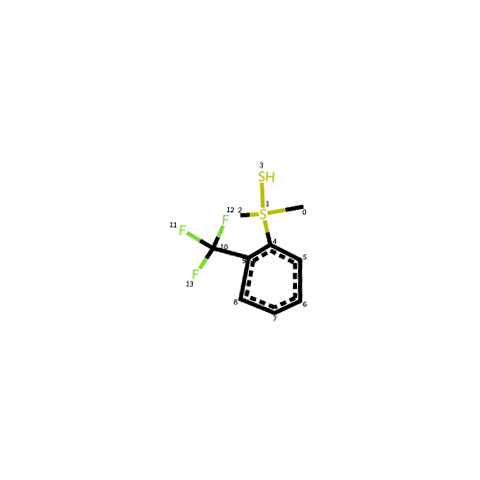 CS(C)(S)c1ccccc1C(F)(F)F